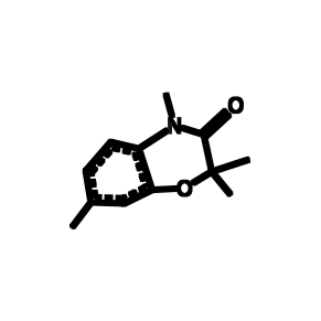 Cc1ccc2c(c1)OC(C)(C)C(=O)N2C